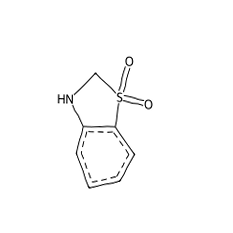 O=S1(=O)CNc2ccccc21